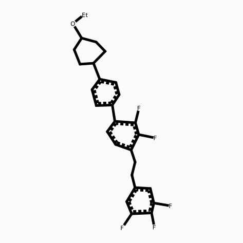 CCOC1CCC(c2ccc(-c3ccc(CCc4cc(F)c(F)c(F)c4)c(F)c3F)cc2)CC1